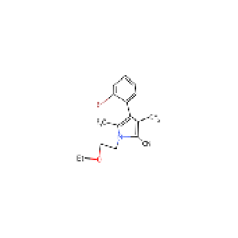 CCOCCn1c(C#N)c(C(F)(F)F)c(-c2ccccc2Br)c1C(F)(F)F